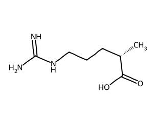 C[C@@H](CCCNC(=N)N)C(=O)O